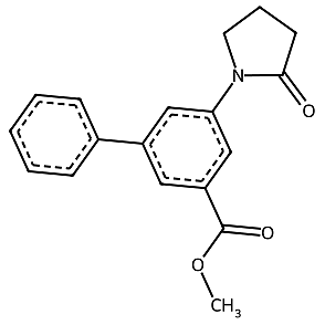 COC(=O)c1cc(-c2ccccc2)cc(N2CCCC2=O)c1